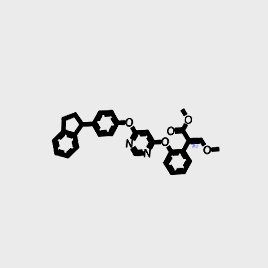 CO/C=C(/C(=O)OC)c1ccccc1Oc1cc(Oc2ccc(C3CCc4ccccc43)cc2)ncn1